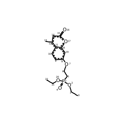 CCOP(=O)(CCOc1ccc2c(C)cc(=O)oc2c1)OCC